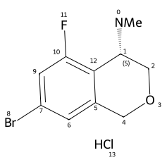 CN[C@@H]1COCc2cc(Br)cc(F)c21.Cl